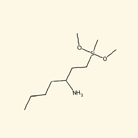 CCCCC(N)CC[Si](C)(OC)OC